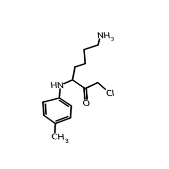 Cc1ccc(NC(CCCCN)C(=O)CCl)cc1